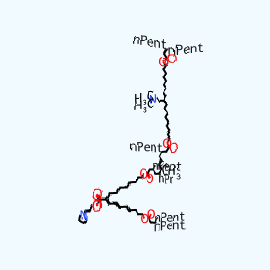 CCCCCC(CCCCC)CC(=O)OCCCCCCCCCC(CCCCCCCCCOC(=O)CC(CCCCC)CCCC(C)C(CCC)CC(CCCCC)CC(=O)OCCCCCCCCC(CCCCCCCCOC(=O)CC(CCCCC)CCCCC)C(=O)OCCCN1CCCC1)CCN(C)C